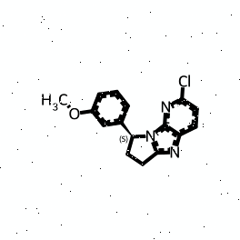 COc1cccc([C@@H]2CCc3nc4ccc(Cl)nc4n32)c1